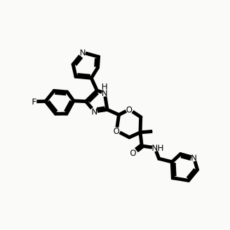 CC1(C(=O)NCc2cccnc2)COC(c2nc(-c3ccc(F)cc3)c(-c3ccncc3)[nH]2)OC1